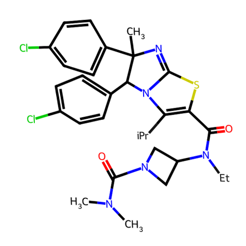 CCN(C(=O)C1=C(C(C)C)N2C(=NC(C)(c3ccc(Cl)cc3)C2c2ccc(Cl)cc2)S1)C1CN(C(=O)N(C)C)C1